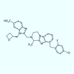 CC1c2nc3c(Cc4ccc(Cl)cc4F)cccc3n2CCN1Cc1nc2ccc(C(=O)O)cc2n1C[C@@H]1CCO1